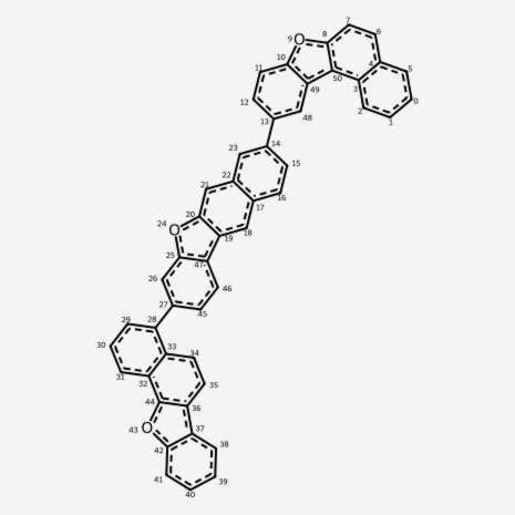 c1ccc2c(c1)ccc1oc3ccc(-c4ccc5cc6c(cc5c4)oc4cc(-c5cccc7c5ccc5c8ccccc8oc75)ccc46)cc3c12